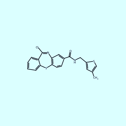 Cc1csc(CNC(=O)c2ccc3c(c2)N=C(Cl)c2ccccc2S3)c1